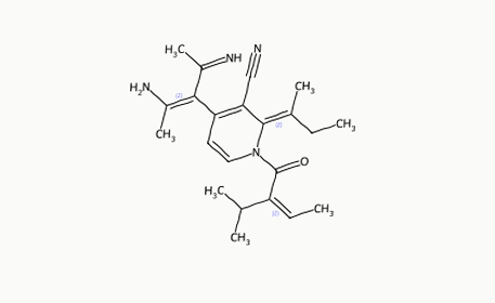 C/C=C(\C(=O)N1C=CC(C(/C(C)=N)=C(\C)N)=C(C#N)/C1=C(\C)CC)C(C)C